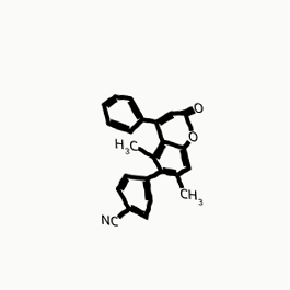 Cc1cc2oc(=O)cc(-c3ccccc3)c2c(C)c1-c1ccc(C#N)cc1